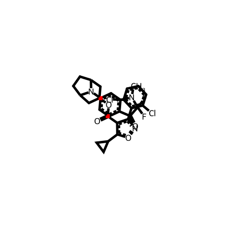 CN1c2cc(N3C4CCC3CC(OC(=O)c3c(-c5c(Cl)cccc5Cl)noc3C3CC3)C4)ccc2C(=O)C1(F)F